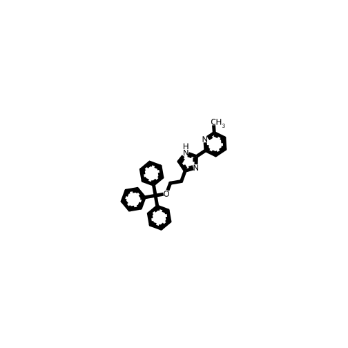 Cc1cccc(-c2nc(CCOC(c3ccccc3)(c3ccccc3)c3ccccc3)c[nH]2)n1